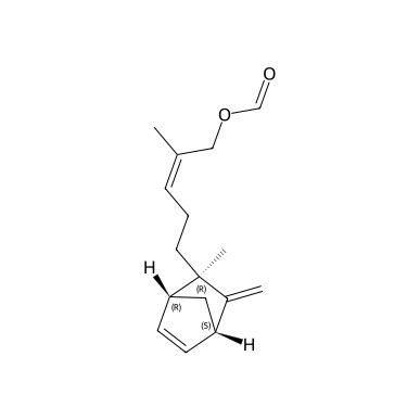 C=C1[C@@H]2C=C[C@@H](C2)[C@@]1(C)CCC=C(C)COC=O